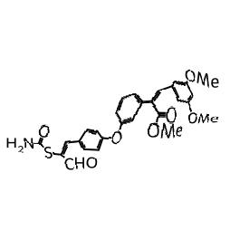 COC(=O)/C(=C\c1cc(OC)cc(OC)c1)c1cccc(Oc2ccc(/C=C(\C=O)SC(N)=O)cc2)c1